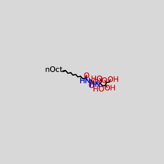 CCCCCCCC/C=C/CCCCCCCC(=O)NCC(=O)ONC1C(O)OC(CO)C(O)C1O